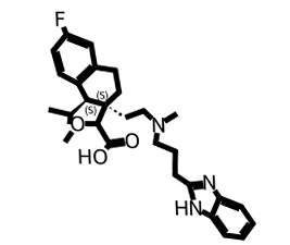 COC(C(=O)O)[C@]1(CCN(C)CCCc2nc3ccccc3[nH]2)CCc2cc(F)ccc2[C@@H]1C(C)C